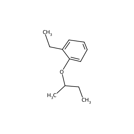 CCc1ccccc1OC(C)CC